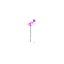 CCC=CCC=CCC=CCC=CCC=CCC=CCCC(=O)NC(CCNC(=O)c1cccnc1)C(=O)O